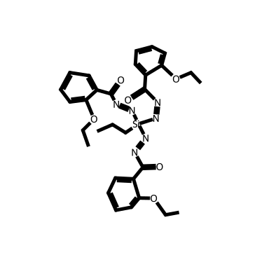 CCC[Si](N=NC(=O)c1ccccc1OCC)(N=NC(=O)c1ccccc1OCC)N=NC(=O)c1ccccc1OCC